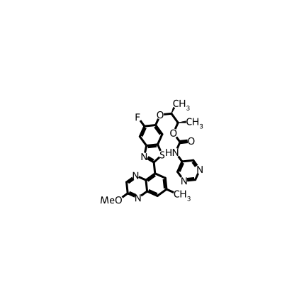 COc1cnc2c(-c3nc4cc(F)c(O[C@@H](C)[C@@H](C)OC(=O)Nc5cncnc5)cc4s3)cc(C)cc2n1